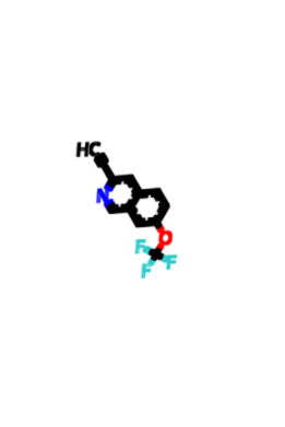 C#Cc1cc2ccc(OC(F)(F)F)cc2cn1